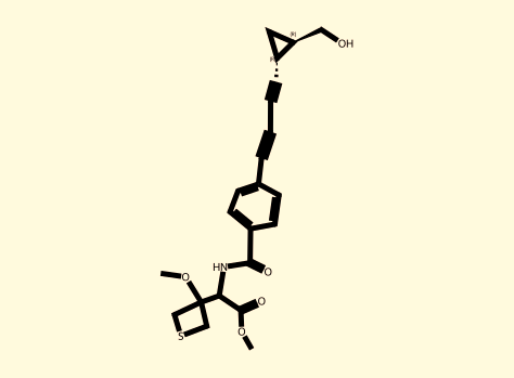 COC(=O)C(NC(=O)c1ccc(C#CC#C[C@@H]2C[C@H]2CO)cc1)C1(OC)CSC1